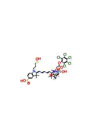 CN(OCC(=O)Oc1c(Cl)c(Cl)c(Cl)c(Cl)c1Cl)C(=O)C1=C\N/N=C(/C=C/C=C/C=C2/N(CCCSO)c3ccc(S(=O)O)cc3C2(C)C)C(C)(C)\C(CCS(=O)O)=C\1